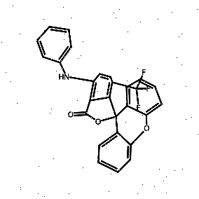 O=C1OC2(c3ccccc3Oc3ccccc32)c2c(C(F)(F)F)ccc(Nc3ccccc3)c21